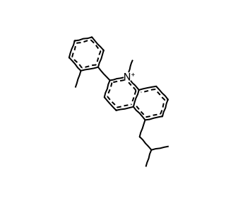 Cc1ccccc1-c1ccc2c(CC(C)C)cccc2[n+]1C